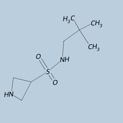 CC(C)(C)CNS(=O)(=O)C1CNC1